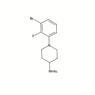 CC(=O)NC1CCN(c2cccc(Br)c2F)CC1